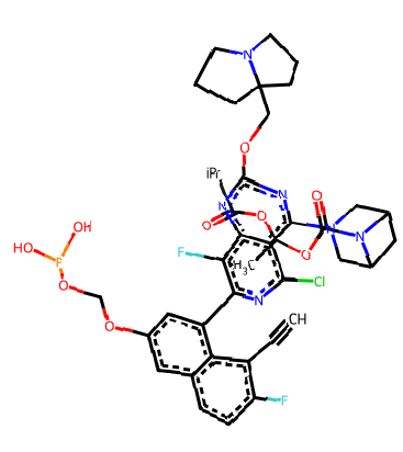 C#Cc1c(F)ccc2cc(OCOP(O)O)cc(-c3nc(Cl)c4c(N5CC6CC(C5)N6C(=O)OC(C)OC(=O)C(C)C)nc(OCC56CCCN5CCC6)nc4c3F)c12